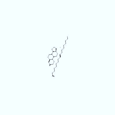 CCCCCCCCC=CCCCCCCCC(=O)O.C[C@]12CC[C@H]3[C@@H](CCC4=CC(=O)CC[C@@]43C)[C@@H]1CC[C@@H]2O